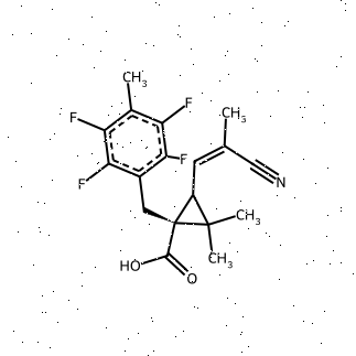 C/C(C#N)=C/C1C(C)(C)[C@]1(Cc1c(F)c(F)c(C)c(F)c1F)C(=O)O